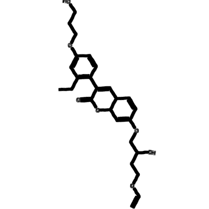 C=COCCC(O)COC1=CC2OC(=O)C(c3ccc(OCCCO)cc3CC)=CC2C=C1